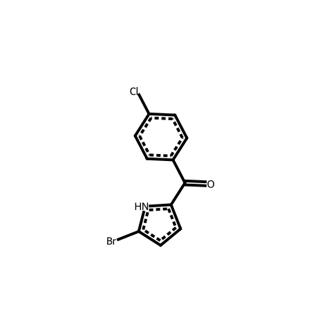 O=C(c1ccc(Cl)cc1)c1ccc(Br)[nH]1